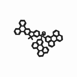 CC1(C)c2cc(P(=O)(c3cc4cccc5c6cccc7cccc(c(c3)c45)c76)c3cc4cccc5c6cccc7cccc(c(c3)c45)c76)ccc2-c2cc3c4ccccc4c4ccccc4c3cc21